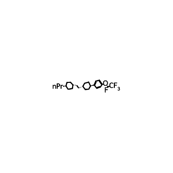 CCC[C@H]1CC[C@H](CC[C@H]2CC[C@H](c3ccc(OC(F)C(F)(F)F)cc3)CC2)CC1